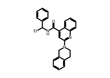 CCC(NC(=O)c1cc(N2CCc3ccccc3C2)nc2ccccc12)c1ccccc1